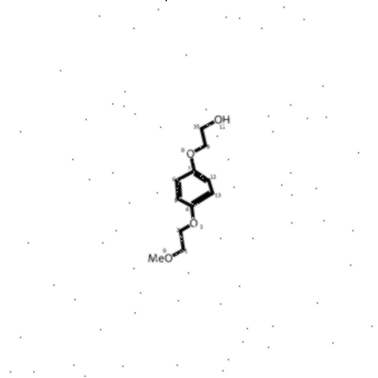 COCCOc1ccc(OCCO)cc1